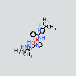 CC(C)c1ccc([C@@H](NC(=O)[C@@H]2CCCN2C(=O)CN2C=C(N(C)C)NN2)c2ccccc2)nc1F